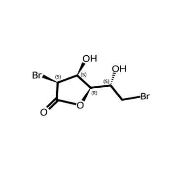 O=C1O[C@H]([C@H](O)CBr)[C@H](O)[C@@H]1Br